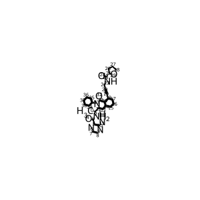 C[C@@H](NC(=O)c1nccnc1N)c1cc2cccc(C#CCNC(=O)[C@H]3CCCO3)c2c(=O)n1-c1ccccc1